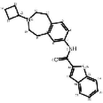 O=C(Nc1ccc2c(c1)CCN(C1CCC1)CC2)c1cc2ccccc2s1